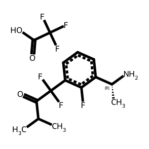 CC(C)C(=O)C(F)(F)c1cccc([C@@H](C)N)c1F.O=C(O)C(F)(F)F